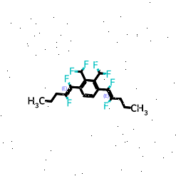 CCC/C(F)=C(\F)c1ccc(/C(F)=C(\F)CCC)c(C(F)F)c1C(F)F